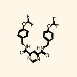 O=C(NCc1ccc(OC(F)F)cc1)c1cc(C(=O)NCc2ccc(OC(F)F)cc2)ncn1